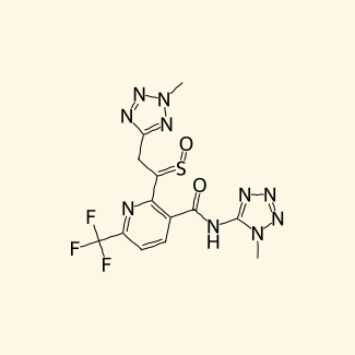 Cn1nnc(CC(=S=O)c2nc(C(F)(F)F)ccc2C(=O)Nc2nnnn2C)n1